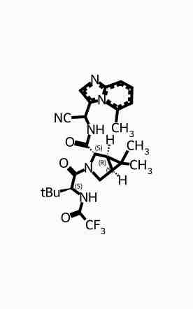 Cc1cccc2ncc(C(C#N)NC(=O)[C@@H]3[C@@H]4[C@H](CN3C(=O)[C@@H](NC(=O)C(F)(F)F)C(C)(C)C)C4(C)C)n12